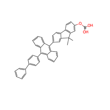 CC1(C)c2cc(OB(O)O)ccc2-c2ccc(-c3c4ccccc4c(-c4ccc(-c5ccccc5)cc4)c4ccccc34)cc21